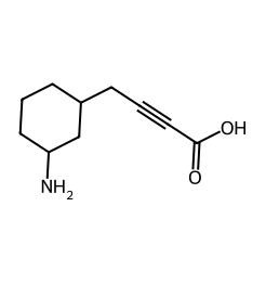 NC1CCCC(CC#CC(=O)O)C1